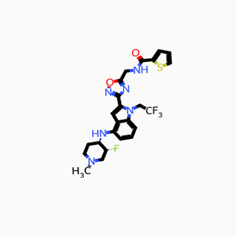 CN1CC[C@H](Nc2cccc3c2cc(-c2noc(CNC(=O)c4cccs4)n2)n3CC(F)(F)F)[C@H](F)C1